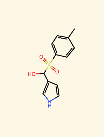 Cc1ccc(S(=O)(=O)C(O)c2cc[nH]c2)cc1